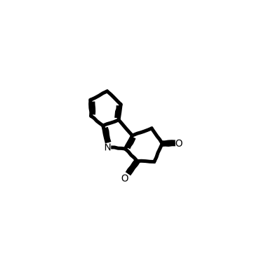 O=C1CC(=O)C2=C(C1)C1=CCC=CC1=N2